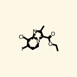 CCOC(=O)c1c(C)nc2c(Cl)c(I)ccn12